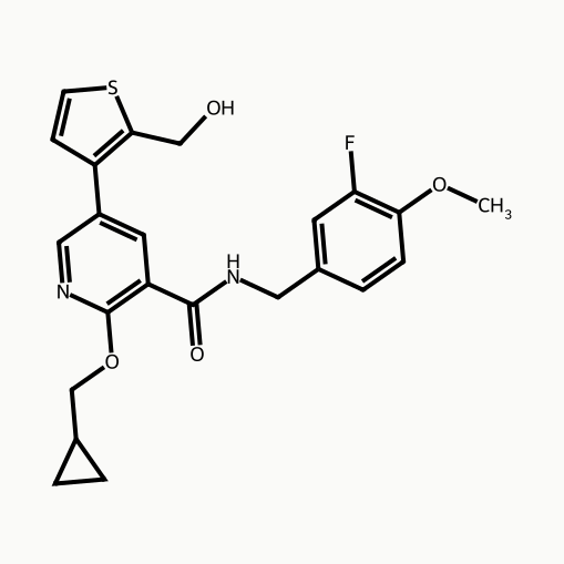 COc1ccc(CNC(=O)c2cc(-c3ccsc3CO)cnc2OCC2CC2)cc1F